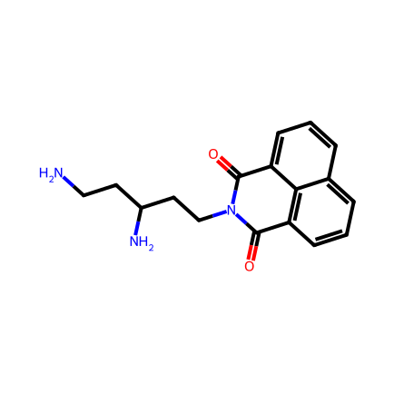 NCCC(N)CCN1C(=O)c2cccc3cccc(c23)C1=O